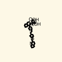 O=C(O)c1nc2n(c1C(=O)O)CCc1ccccc1C2=C1CCN(CCc2ccc(OCc3ccc4ccccc4n3)cc2)CC1